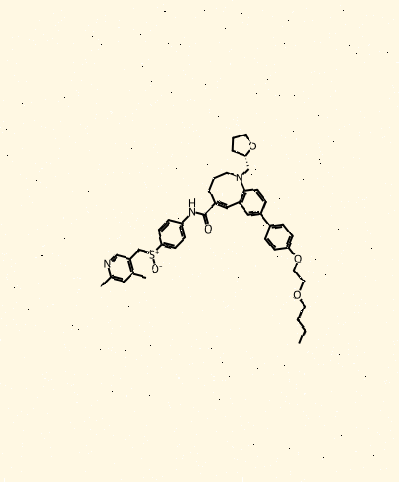 CCCCOCCOc1ccc(-c2ccc3c(c2)/C=C(/C(=O)Nc2ccc([S+]([O-])Cc4cnc(C)cc4C)cc2)CCCN3C[C@@H]2CCCO2)cc1